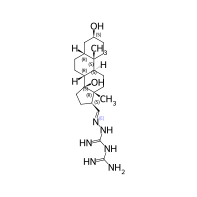 C[C@]12CC[C@H](O)C[C@H]1CC[C@@H]1[C@@H]2CC[C@]2(C)[C@@H](/C=N/NC(=N)NC(=N)N)CC[C@]12O